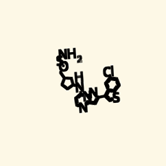 NSOCC1CCC(Nc2ccnc3cc(-c4csc5ccc(Cl)cc45)nn23)C1